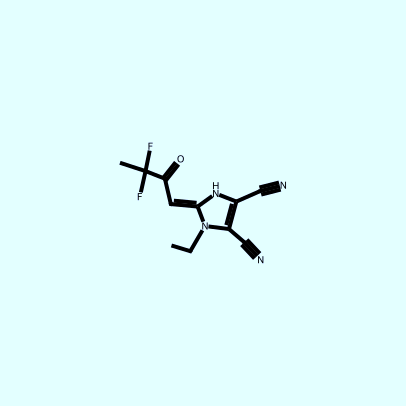 CCN1C(C#N)=C(C#N)N/C1=C\C(=O)C(C)(F)F